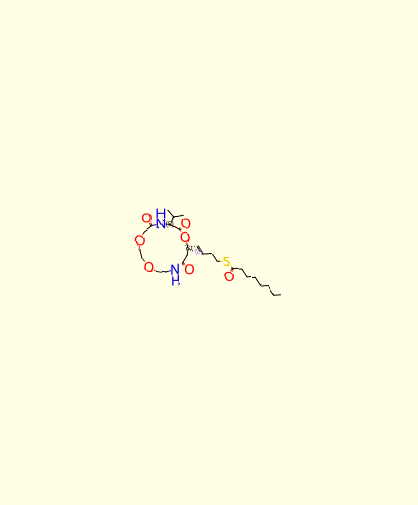 CCCCCCCC(=O)SCC/C=C/[C@@H]1CC(=O)NCCOCCOCC(=O)N[C@@H](C(C)C)C(=O)O1